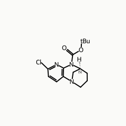 CC(C)(C)OC(=O)N1c2nc(Cl)ccc2N2CCC[C@H]1C2